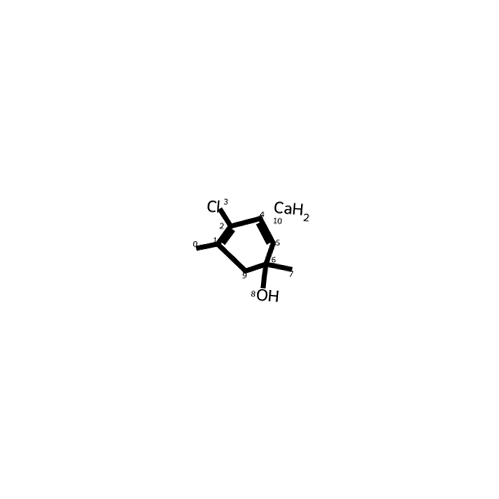 CC1=C(Cl)C=CC(C)(O)C1.[CaH2]